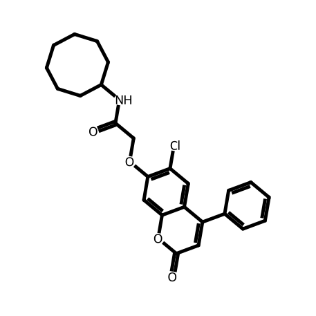 O=C(COc1cc2oc(=O)cc(-c3ccccc3)c2cc1Cl)NC1CCCCCCC1